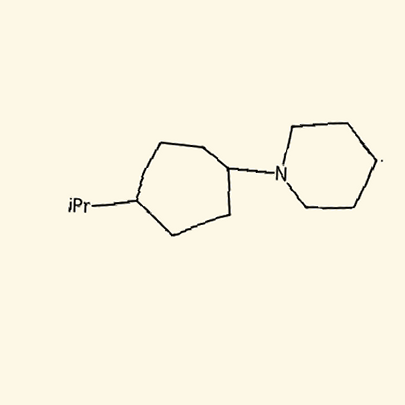 CC(C)C1CCC(N2CC[CH]CC2)CC1